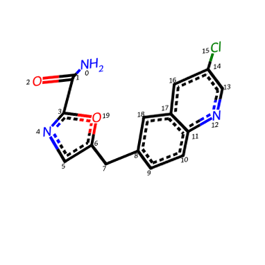 NC(=O)c1ncc(Cc2ccc3ncc(Cl)cc3c2)o1